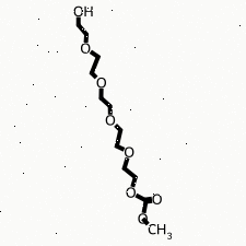 COC(=O)OCCOCCOCCOCCOCCO